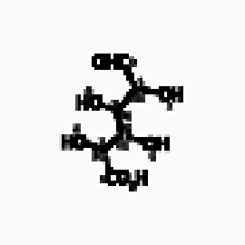 O=C[C@@H](O)[C@@H](O)[C@H](O)[C@@H](O)C(=O)O